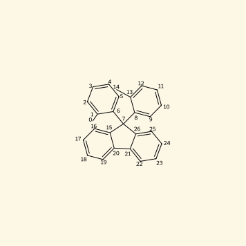 Cc1ccccc1C1(c2ccccc2C)c2ccccc2-c2ccccc21